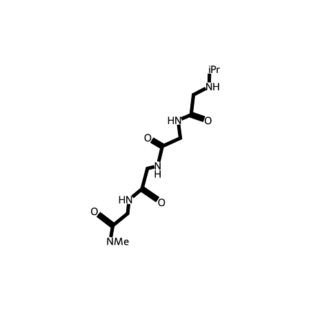 CNC(=O)CNC(=O)CNC(=O)CNC(=O)CNC(C)C